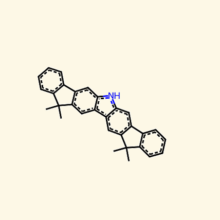 CC1(C)c2ccccc2-c2cc3[nH]c4cc5c(cc4c3cc21)C(C)(C)c1ccccc1-5